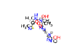 Cc1ncsc1-c1ccc([C@H](C)NC(=O)C2CC(O)CN2C(=O)[C@@H](c2cc(N3CC4(CC(c5cc6nnc(-c7ccccc7O)cc6n5C5CCC5)C4)C3)no2)C(C)C)cc1